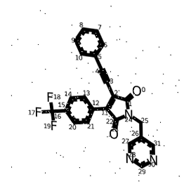 O=C1C(C#Cc2ccccc2)=C(c2ccc(C(F)(F)F)cc2)C(=O)N1Cc1cncnc1